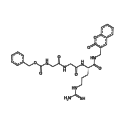 N=C(N)NCCC[C@H](NC(=O)CNC(=O)CNC(=O)OCc1ccccc1)C(=O)NCc1cc2ccccc2oc1=O